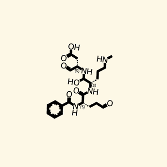 CNCCC[C@H](NC(=O)[C@H](CCC=O)NC(=O)c1ccccc1)C(O)N[C@H](C=O)CC(=O)O